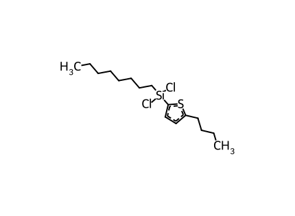 CCCCCCCC[Si](Cl)(Cl)c1ccc(CCCC)s1